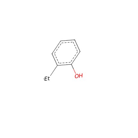 C[CH]c1ccccc1O